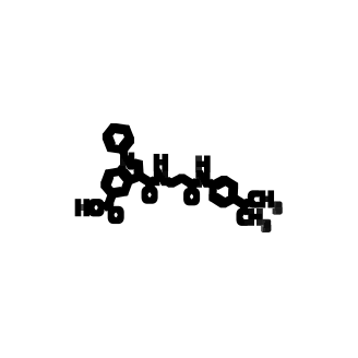 CC(C)c1ccc(NC(=O)CCNC(=O)c2cn(-c3ccccc3)c3ccc(C(=O)O)cc23)cc1